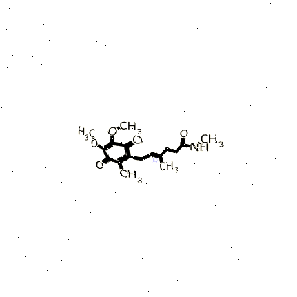 CNC(=O)CC/C(C)=C/CC1=C(C)C(=O)C(OC)=C(OC)C1=O